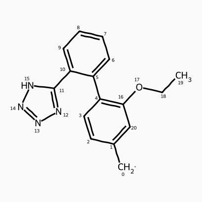 [CH2]c1ccc(-c2ccccc2-c2nnn[nH]2)c(OCC)c1